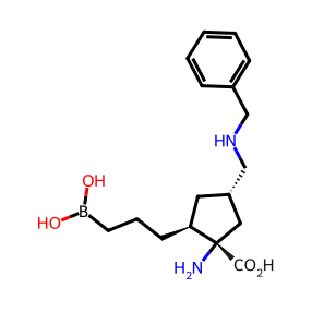 N[C@@]1(C(=O)O)C[C@@H](CNCc2ccccc2)C[C@@H]1CCCB(O)O